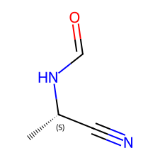 C[C@@H](C#N)NC=O